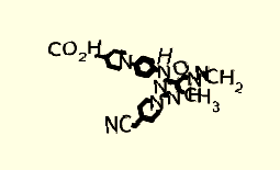 C=NNC(=O)c1c(C)nc(N2CCC(CC#N)CC2)nc1Nc1ccc(N2CCC(CC(=O)O)CC2)cc1